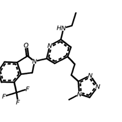 CCNc1cc(CCc2nncn2C)cc(N2Cc3c(cccc3C(F)(F)F)C2=O)n1